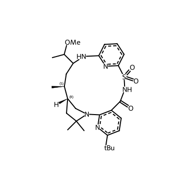 COC(C)C1C[C@H](C)[C@@H]2CN(c3nc(C(C)(C)C)ccc3C(=O)NS(=O)(=O)c3cccc(n3)N1)C(C)(C)C2